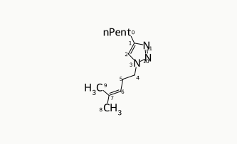 CCCCCc1cn(CCC=C(C)C)nn1